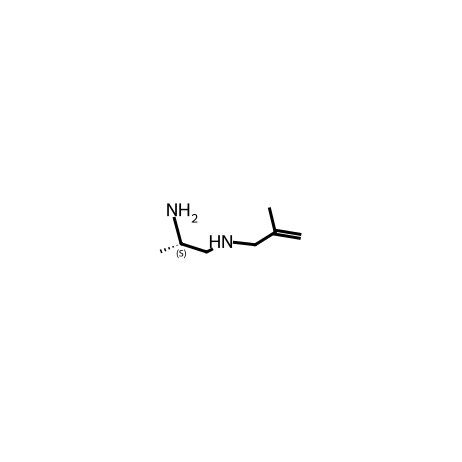 C=C(C)CNC[C@H](C)N